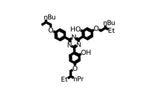 CCCCC(C)COc1ccc(-c2nc(-c3ccc(OCC(CC)CCC)cc3O)nc(-c3ccc(OCC(CC)CCCC)cc3O)n2)cc1